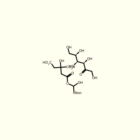 CCCCCCCCCC(O)OC(=O)CC(O)(CC(=O)O)C(=O)O.O=C(CO)[C@H](O)[C@@H](O)[C@H](O)CO